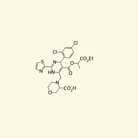 CCOC(=O)C(C)OC(=O)C1=C(CN2CCOCC2C(=O)O)NC(c2nccs2)=NC1c1ccc(Cl)cc1Cl